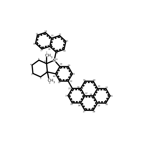 CC12CCCCC1(C)N(c1cccc3ccccc13)c1ccc(-c3ccc4ccc5cccc6ccc3c4c56)cc12